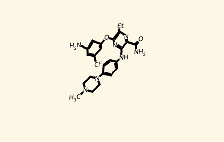 CCc1nc(C(N)=O)c(Nc2ccc(N3CCN(C)CC3)cc2)nc1Oc1cc(N)cc(C(F)(F)F)c1